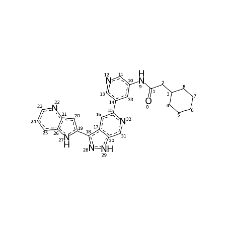 O=C(CC1CCCCC1)Nc1cncc(-c2cc3c(-c4cc5ncccc5[nH]4)n[nH]c3cn2)c1